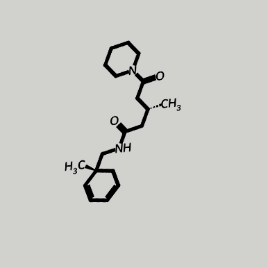 C[C@H](CC(=O)NC[C@@]1(C)C=CC=CC1)CC(=O)N1CCCCC1